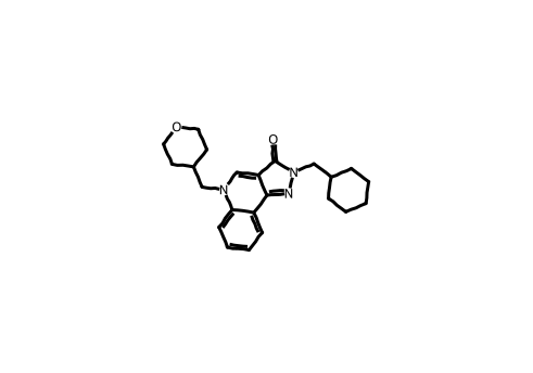 O=c1c2cn(CC3CCOCC3)c3ccccc3c-2nn1CC1CCCCC1